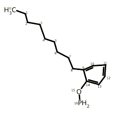 CCCCCCCCCc1ccccc1OP